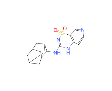 O=S1(=O)N=C(NC2C3CC4CC(C3)CC2C4)Nc2ccncc21